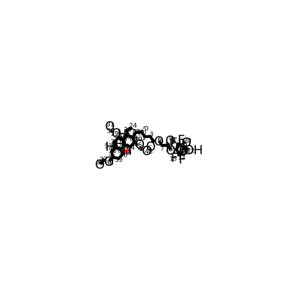 C[C@H](CCC(=O)OCC(=O)OC(C(F)(F)F)C(F)(F)S(=O)(=O)O)[C@H]1CC[C@H]2[C@@H]3C(OC=O)C[C@@H]4CC(OC=O)CC[C@]4(C)[C@H]3CC(OC=O)[C@]12C